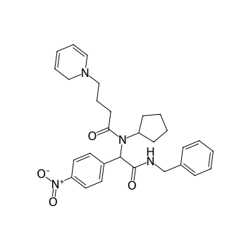 O=C(NCc1ccccc1)C(c1ccc([N+](=O)[O-])cc1)N(C(=O)CCCN1C=CC=CC1)C1CCCC1